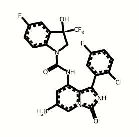 Bc1cc(NC(=O)N2C[C@](O)(C(F)(F)F)c3cc(F)ccc32)c2c(-c3cc(F)ccc3Cl)[nH]c(=O)n2c1